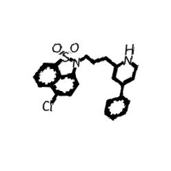 O=S1(=O)c2cccc3c(Cl)ccc(c23)N1CCCC1CC(c2ccccc2)=CCN1